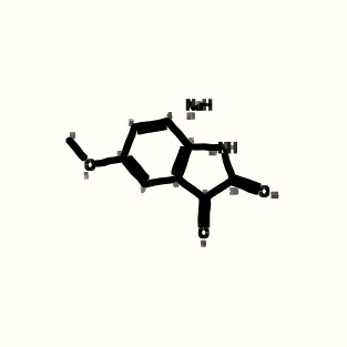 COc1ccc2c(c1)C(=O)C(=O)N2.[NaH]